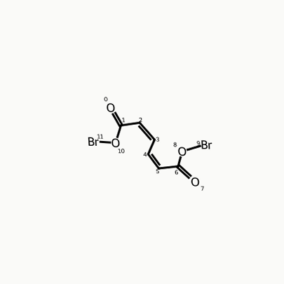 O=C(/C=C\C=C/C(=O)OBr)OBr